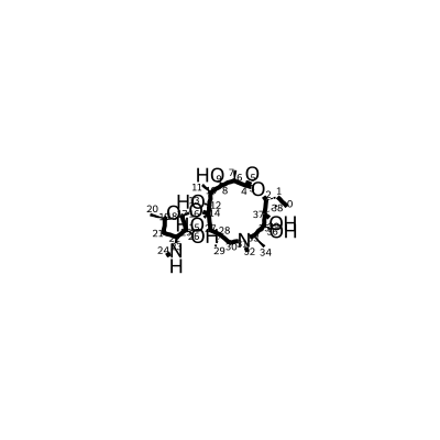 CC[C@H]1OC(=O)[C@H](C)[C@@H](O)[C@H](C)[C@@H](O)[C@@](O)(O[C@@H]2O[C@H](C)C[C@H](NC)[C@H]2O)C[C@@H](C)CN(C)[C@H](C)[C@@H](O)[C@]1(C)O